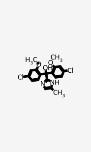 COc1cc(Cl)ccc1C(O)(c1ncc(C)[nH]1)c1ccc(Cl)cc1OC